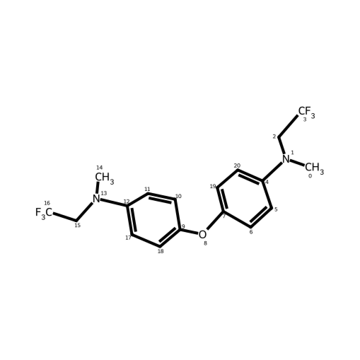 CN(CC(F)(F)F)c1ccc(Oc2ccc(N(C)CC(F)(F)F)cc2)cc1